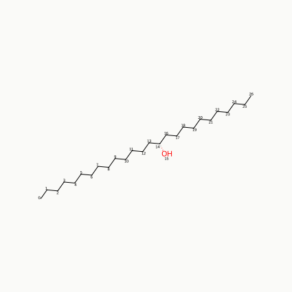 CCCCCCCCCCCCCC[C@@H](O)CCCCCCCCCCC